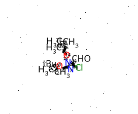 CC(C)(C)[Si](C)(C)OCc1nc(Cl)c(C=O)n1COCC[Si](C)(C)C